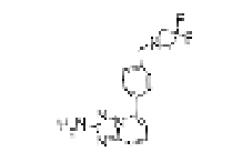 Nc1nc2cccc(-c3ccc(CN4CC(F)(F)C4)cc3)n2n1